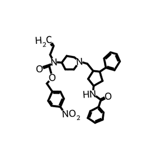 C=CCN(C(=O)OCc1ccc([N+](=O)[O-])cc1)C1CCN(CC2CC(NC(=O)c3ccccc3)CC2c2ccccc2)CC1